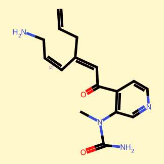 C=CCC(=CC(=O)c1ccncc1N(C)C(N)=O)/C=C\CN